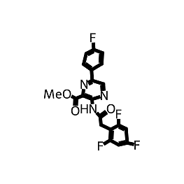 COC(=O)c1nc(-c2ccc(F)cc2)cnc1NC(=O)Cc1c(F)cc(F)cc1F